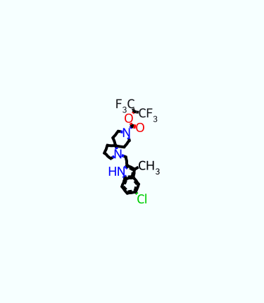 Cc1c(CN2CCCC23CCN(C(=O)OC(C(F)(F)F)C(F)(F)F)CC3)[nH]c2ccc(Cl)cc12